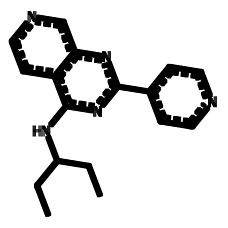 CCC(CC)Nc1nc(-c2ccncc2)nc2cnccc12